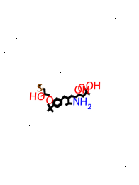 CSC[C@H](O)COc1cc(CC(CC(N)C(O)CC(C)C(=O)O)C(C)C)ccc1C(C)(C)C